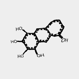 Oc1c(O)c(O)c2cc3c(O)cccc3cc2c1O